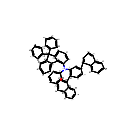 c1ccc(N(c2cc(-c3cccc4ccccc34)ccc2-c2cccc3ccccc23)c2cccc3c2-c2ccccc2C3(c2ccccc2)c2ccccc2)cc1